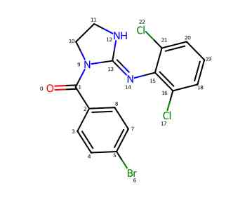 O=C(c1ccc(Br)cc1)N1CCNC1=Nc1c(Cl)cccc1Cl